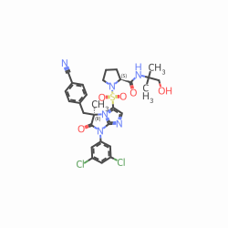 CC(C)(CO)NC(=O)[C@@H]1CCCN1S(=O)(=O)c1cnc2n1[C@](C)(Cc1ccc(C#N)cc1)C(=O)N2c1cc(Cl)cc(Cl)c1